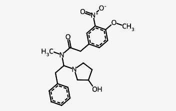 COc1ccc(CC(=O)N(C)C(Cc2ccccc2)N2CCC(O)C2)cc1[N+](=O)[O-]